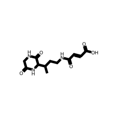 CC(CCNC(=O)C=CC(=O)O)C1NC(=O)CNC1=O